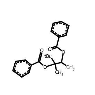 CC(OC(=O)c1ccccc1)C(C)(OC(=O)c1ccccc1)C(C)(C)C